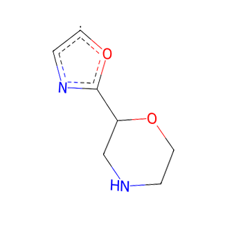 [c]1cnc(C2CNCCO2)o1